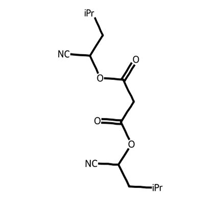 CC(C)CC(C#N)OC(=O)CC(=O)OC(C#N)CC(C)C